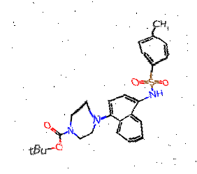 Cc1ccc(S(=O)(=O)Nc2ccc(N3CCN(C(=O)OC(C)(C)C)CC3)c3ccccc23)cc1